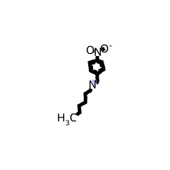 CCCCCC/N=C/c1ccc([N+](=O)[O-])cc1